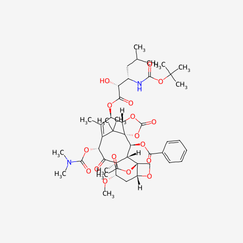 CO[C@H]1C[C@H]2OC[C@@]2(OC(C)=O)[C@H]2[C@H](OC(=O)c3ccccc3)[C@]34OC(=O)O[C@H]3[C@H](OC(=O)[C@H](O)[C@H](CC(C)C)NC(=O)OC(C)(C)C)C(C)=C([C@@H](OC(=O)N(C)C)C(=O)[C@]12C)C4(C)C